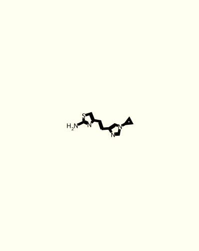 Nc1nc(C=Cc2cn(C3CC3)cn2)cs1